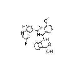 COc1cccc2c(NC3C4CCC(CC4)C3C(=O)O)nc(-c3c[nH]c4ncc(F)cc34)nc12